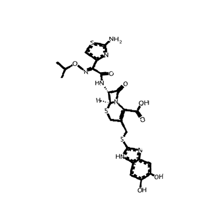 CC(C)ON=C(C(=O)N[C@@H]1C(=O)N2C(C(=O)O)=C(CSc3nc4cc(O)c(O)cc4[nH]3)CS[C@@H]12)c1csc(N)n1